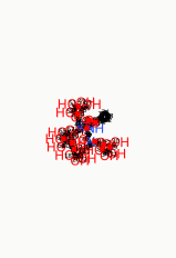 O=C(N[C@@H](CCC(=O)N(CCOC1OC(CO)C(O)C(O)C1O)CCO[C@H]1O[C@H](CO)[C@@H](O)[C@H](O)[C@@H]1O)C(=O)N(CCO[C@H]1O[C@H](CO)[C@@H](O)[C@H](O)[C@@H]1O)CCO[C@H]1O[C@H](CO)[C@@H](O)[C@H](O)[C@@H]1O)OCc1ccccc1